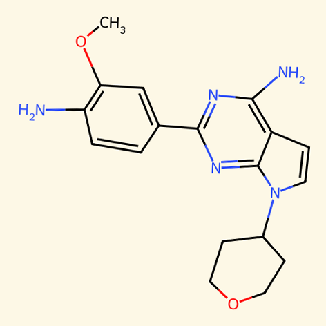 COc1cc(-c2nc(N)c3ccn(C4CCOCC4)c3n2)ccc1N